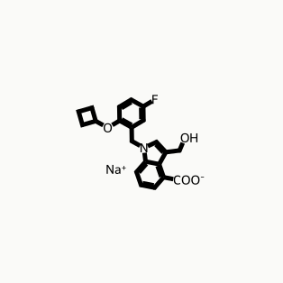 O=C([O-])c1cccc2c1c(CO)cn2Cc1cc(F)ccc1OC1CCC1.[Na+]